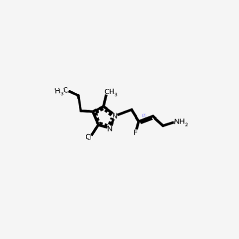 CCCc1c(Cl)nn(C/C(F)=C/CN)c1C